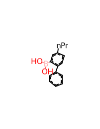 CCCc1ccc(-c2ccccc2)c(B(O)O)c1